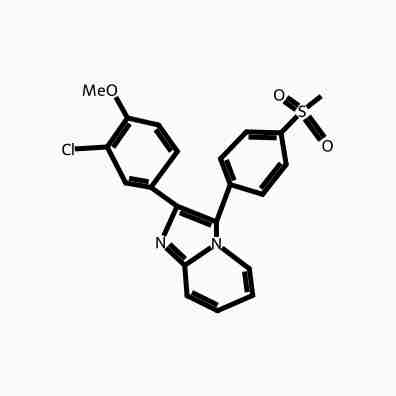 COc1ccc(-c2nc3ccccn3c2-c2ccc(S(C)(=O)=O)cc2)cc1Cl